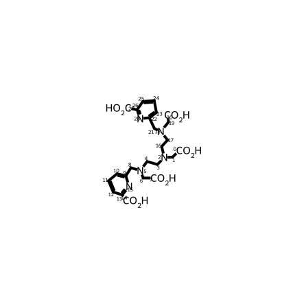 O=C(O)CN(CCN(CC(=O)O)Cc1cccc(C(=O)O)n1)CCN(CC(=O)O)Cc1cccc(C(=O)O)n1